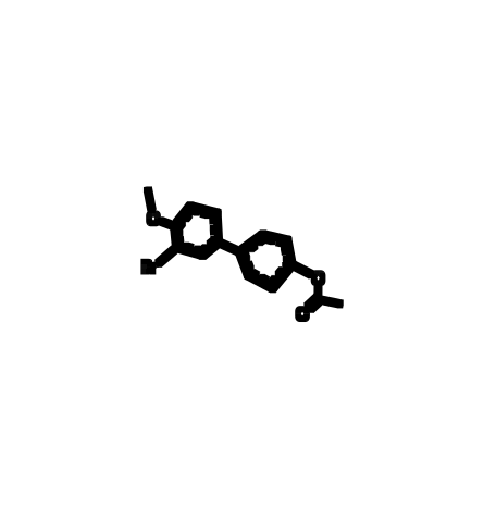 COc1ccc(-c2ccc(OC(C)=O)cc2)cc1Br